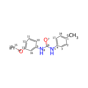 Cc1ccc(NC(=O)Nc2cccc(OC(C)C)c2)cc1